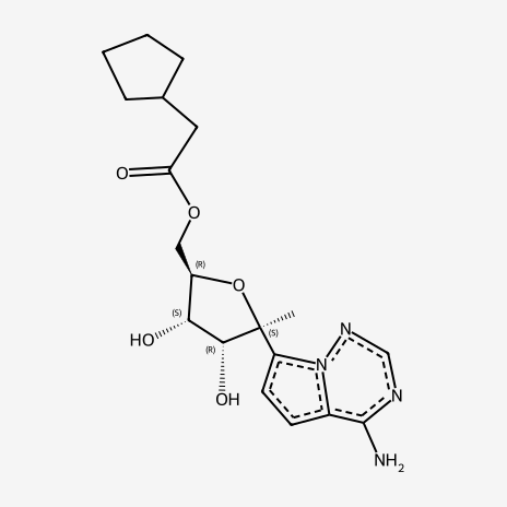 C[C@@]1(c2ccc3c(N)ncnn23)O[C@H](COC(=O)CC2CCCC2)[C@@H](O)[C@H]1O